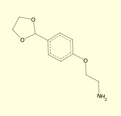 NCCOc1ccc(C2OCCO2)cc1